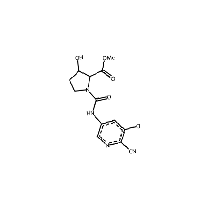 COC(=O)C1C(O)CCN1C(=O)Nc1cnc(C#N)c(Cl)c1